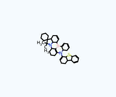 CC1(C)N2C3CCCC4=C3B(C3=CC=CCC3N4C3=CCCC4C3SC3C=CC=CC34)C3C=CCC(C32)C12CCCCC2